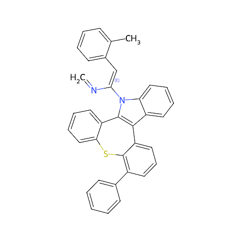 C=N/C(=C\c1ccccc1C)n1c2c(c3ccccc31)-c1cccc(-c3ccccc3)c1Sc1ccccc1-2